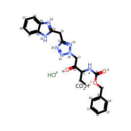 Cl.O=C(O)CC(NC(=O)OCc1ccccc1)C(=O)Cn1nnc(Cc2nc3ccccc3[nH]2)n1